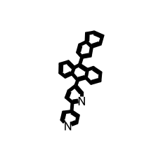 c1ccc2cc(-c3c4ccccc4c(-c4ccc(-c5ccncc5)nc4)c4ccccc34)ccc2c1